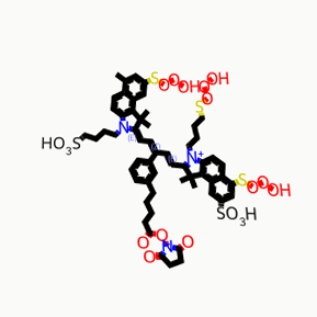 Cc1cc(SOOO)cc2c3c(ccc12)N(CCCCS(=O)(=O)O)/C(=C/C=C(/C=C/C1=[N+](CCCCSOOO)c2ccc4c(SOOO)cc(S(=O)(=O)O)cc4c2C1(C)C)c1cccc(CCCCC(=O)ON2C(=O)CCC2=O)c1)C3(C)C